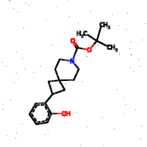 CC(C)(C)OC(=O)N1CCC2(CC1)CC(c1ccccc1O)C2